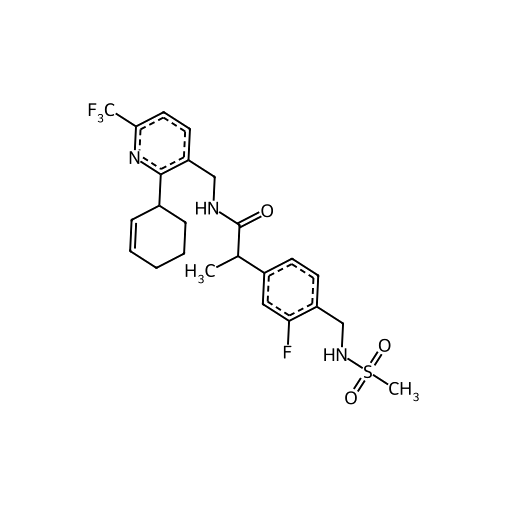 CC(C(=O)NCc1ccc(C(F)(F)F)nc1C1C=CCCC1)c1ccc(CNS(C)(=O)=O)c(F)c1